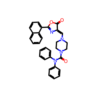 O=C1OC(c2cccc3ccccc23)=NC1=CN1CCN(C(=O)N(c2ccccc2)c2ccccc2)CC1